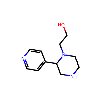 OCCN1CCNCC1c1ccncc1